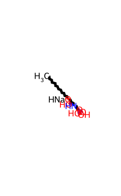 CCCCCCCCCCCCCCOCC(O)CNCCOP(=O)(O)O.[NaH]